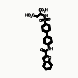 O=C(O)C[C@@H](NS(=O)(=O)c1ccc(-c2ccc(NC(=O)c3cc4ccccc4o3)cc2)cc1)C(=O)O